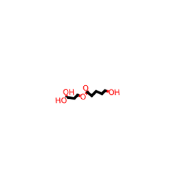 O=C(CCCCO)OCCC(O)O